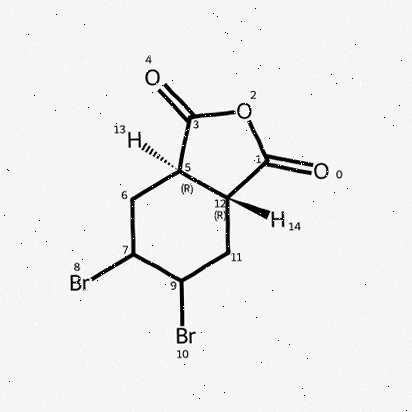 O=C1OC(=O)[C@@H]2CC(Br)C(Br)C[C@@H]12